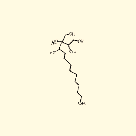 OCCCCCCCCCC(O)C(O)(CO)C(O)CO